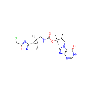 CC(Cn1cnc2nc[nH]c(=O)c21)C(C)(C)OC(=O)N1C[C@@H]2[C@H](C1)[C@H]2c1noc(CCl)n1